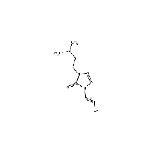 CC(=O)/C=C/n1nnn(CCN(C)C)c1=O